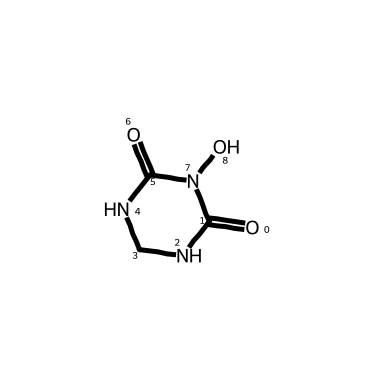 O=C1NCNC(=O)N1O